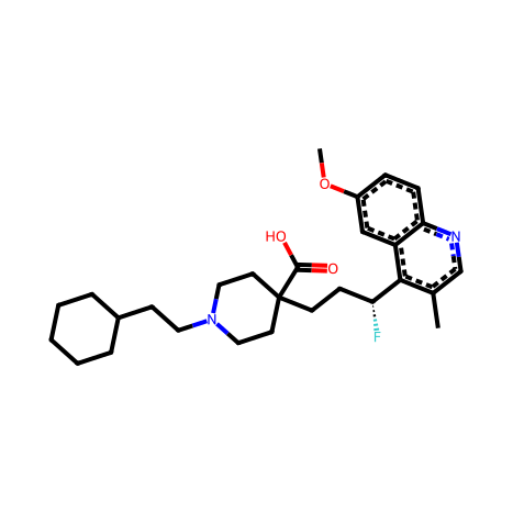 COc1ccc2ncc(C)c([C@H](F)CCC3(C(=O)O)CCN(CCC4CCCCC4)CC3)c2c1